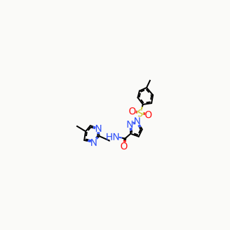 Cc1ccc(S(=O)(=O)n2ccc(C(=O)NCc3ncc(C)cn3)n2)cc1